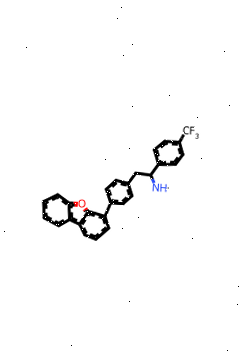 [NH]C(Cc1ccc(-c2cccc3c2oc2ccccc23)cc1)c1ccc(C(F)(F)F)cc1